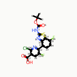 CC(C)(C)OC(=O)Nc1nc2c(-c3nc(Cl)c(C(=O)O)cc3F)ccc(F)c2s1